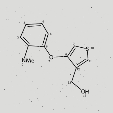 CNc1ccccc1Oc1cscc1CO